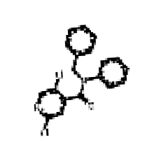 O=C(c1cc(Cl)ncc1Cl)N(Cc1ccccc1)c1ccccc1